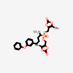 CC(C)(C)c1oc(=O)oc1COP(=O)(OCc1oc(=O)oc1C(C)(C)C)C(CCCc1cccc(Oc2ccccc2)c1)S(=O)(=O)O